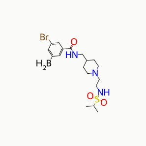 Bc1cc(Br)cc(C(=O)NCC2CCN(CCNS(=O)(=O)C(C)C)CC2)c1